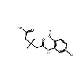 COc1ccc(Cl)cc1NC(=O)CC(C)(C)CC(=O)O